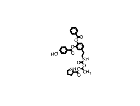 CC(OC(=O)NCCc1ccc(OC(=O)c2ccccc2)c(OC(=O)c2ccccc2)c1)OC(=O)C1CCCN1.Cl